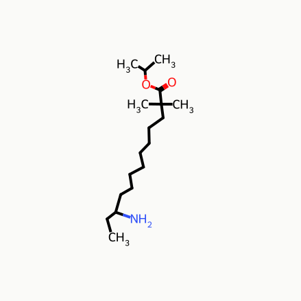 CCC(N)CCCCCCCCC(C)(C)C(=O)OC(C)C